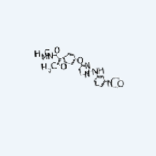 CNC(=O)c1c(C)oc2cc(Oc3ccnc(Nc4cccc(N5CCOCC5)c4)n3)ccc12